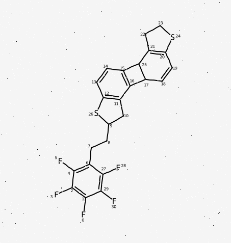 Fc1c(F)c(F)c(CCC2Cc3c(ccc4c3C3C=CC5=C(CCS5)C43)S2)c(F)c1F